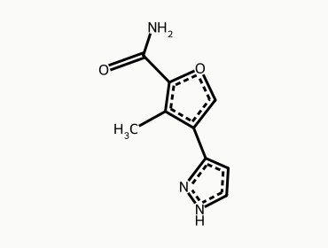 Cc1c(-c2cc[nH]n2)coc1C(N)=O